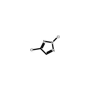 Clc1cnn(Cl)n1